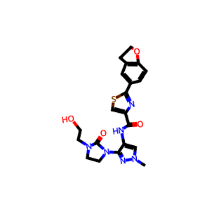 Cn1cc(NC(=O)c2csc(-c3ccc4c(c3)CCO4)n2)c(N2CCN(CCO)C2=O)n1